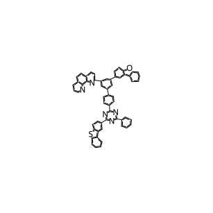 c1ccc(-c2nc(-c3ccc(-c4cc(-c5ccc6oc7ccccc7c6c5)cc(-c5ccc6ccc7cccnc7c6n5)c4)cc3)nc(-c3ccc4sc5ccccc5c4c3)n2)cc1